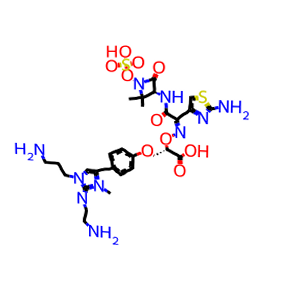 Cn1c(-c2ccc(OC[C@H](O/N=C(\C(=O)N[C@@H]3C(=O)N(OS(=O)(=O)O)C3(C)C)c3csc(N)n3)C(=O)O)cc2)cn(CCCN)/c1=N/CCN